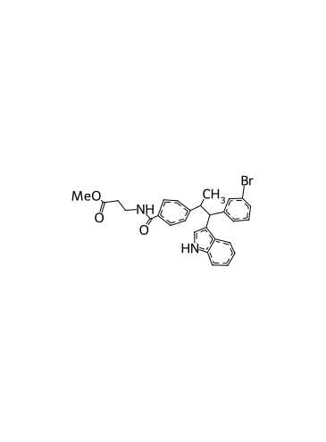 COC(=O)CCNC(=O)c1ccc(C(C)C(c2cccc(Br)c2)c2c[nH]c3ccccc23)cc1